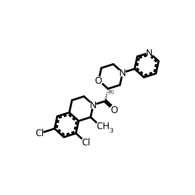 CC1c2c(Cl)cc(Cl)cc2CCN1C(=O)[C@H]1CN(c2cccnc2)CCO1